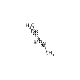 CCCCCc1cnc(-c2ccc(OC[C@H]3CC[C@H](OC(=O)[C@@H](F)CCCC)CC3)c(Br)c2)nc1